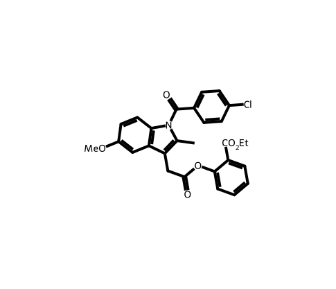 CCOC(=O)c1ccccc1OC(=O)Cc1c(C)n(C(=O)c2ccc(Cl)cc2)c2ccc(OC)cc12